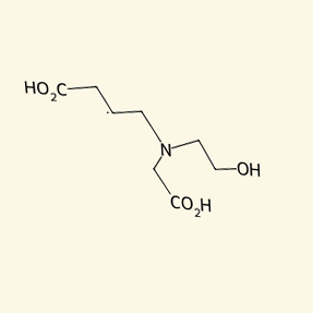 O=C(O)C[CH]CN(CCO)CC(=O)O